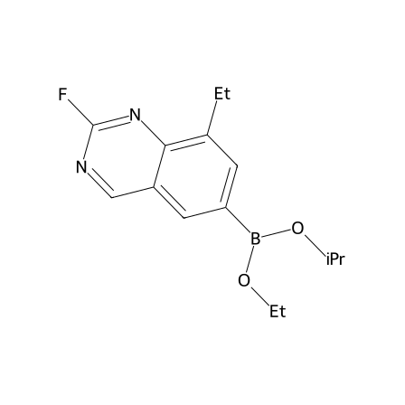 CCOB(OC(C)C)c1cc(CC)c2nc(F)ncc2c1